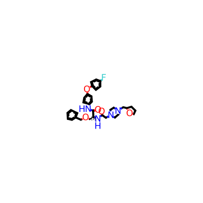 O=C(CN1CCN(CC2CCCO2)CC1)N[C@@H](COCc1ccccc1)C(=O)Nc1ccc(Oc2ccc(F)cc2)cc1